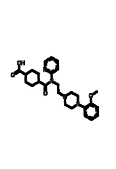 COc1ccccc1N1CCN(CCN(C(=O)C2CCC(C(=O)O)CC2)c2ccccn2)CC1